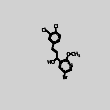 COc1ncc(Br)cc1C(O)C=Cc1ccc(Cl)c(Cl)c1